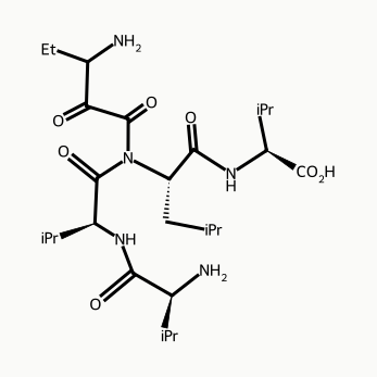 CCC(N)C(=O)C(=O)N(C(=O)[C@@H](NC(=O)[C@@H](N)C(C)C)C(C)C)[C@@H](CC(C)C)C(=O)N[C@H](C(=O)O)C(C)C